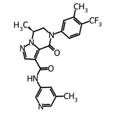 Cc1cncc(NC(=O)c2cnn3c2C(=O)N(c2ccc(C(F)(F)F)c(C)c2)C[C@@H]3C)c1